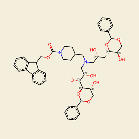 O=C(OCC1c2ccccc2-c2ccccc21)N1CCC(CN(C[C@H](O)C[C@@H]2OC(c3ccccc3)OC[C@H]2O)C[C@H](O)[C@@H](O)[C@@H]2OC(c3ccccc3)OC[C@H]2O)CC1